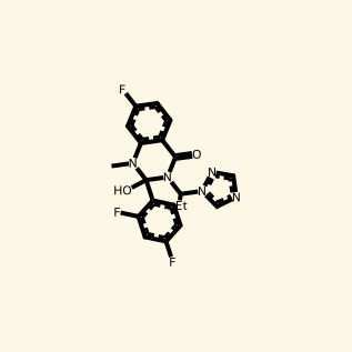 CCC(N1C(=O)c2ccc(F)cc2N(C)C1(O)c1ccc(F)cc1F)n1cncn1